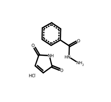 Cl.NNC(=O)c1ccccc1.O=C1C=CC(=O)N1